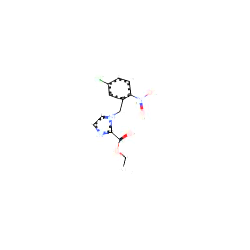 CCOC(=O)c1nccn1Cc1cc(Cl)ccc1[N+](=O)[O-]